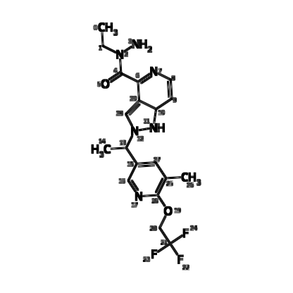 CCN(N)C(=O)C1=NC=CC2NN(C(C)c3cnc(OCC(F)(F)F)c(C)c3)C=C12